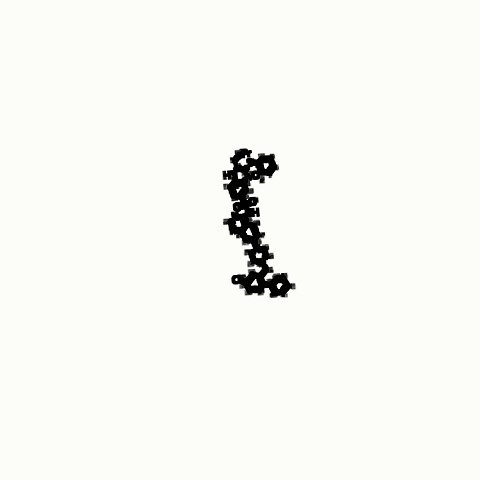 CC(C)C[C@@H](CSc1ccccc1)Nc1ccc(S(=O)(=O)Nc2ncnc3cc(N4CCN(Cc5cc(Cl)ccc5-c5ccccc5)CC4)ccc23)cc1[N+](=O)[O-]